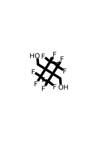 OCC(C(F)(F)F)(C(F)(F)F)C(CO)(C(F)(F)F)C(F)(F)F